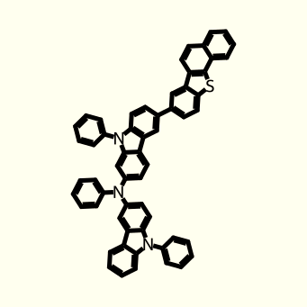 c1ccc(N(c2ccc3c(c2)c2ccccc2n3-c2ccccc2)c2ccc3c4cc(-c5ccc6sc7c8ccccc8ccc7c6c5)ccc4n(-c4ccccc4)c3c2)cc1